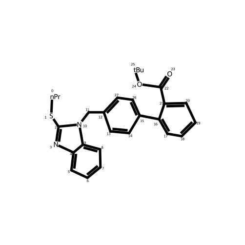 CCCSc1nc2ccccc2n1Cc1ccc(-c2ccccc2C(=O)OC(C)(C)C)cc1